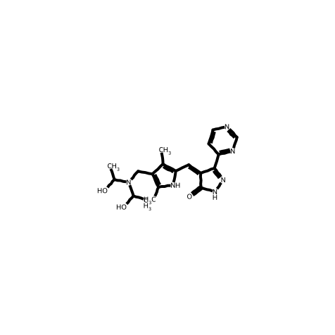 Cc1[nH]c(C=C2C(=O)NN=C2c2ccncn2)c(C)c1CN(C(C)O)C(C)O